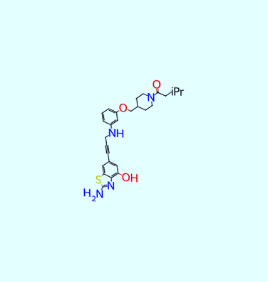 CC(C)CC(=O)N1CCC(COc2cccc(NCC#Cc3cc(O)c4nc(N)sc4c3)c2)CC1